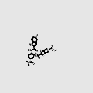 CN(C)C(=O)[C@H]1CC[C@H](NC(=O)c2cc3cc(F)ccc3[nH]2)[C@H](NC(=O)c2nc3c(s2)CN(C(=O)O)C3)C1